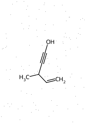 C=CC(C)C#CO